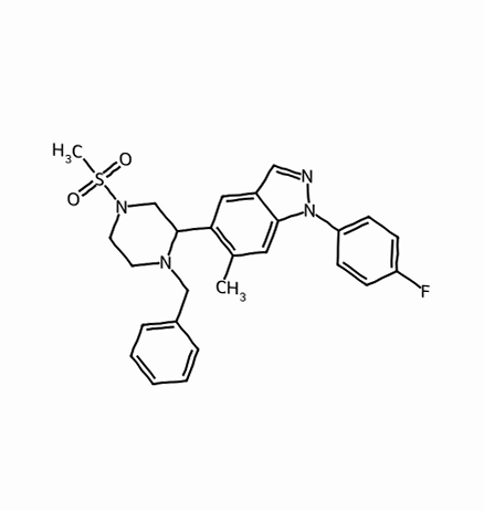 Cc1cc2c(cnn2-c2ccc(F)cc2)cc1C1CN(S(C)(=O)=O)CCN1Cc1ccccc1